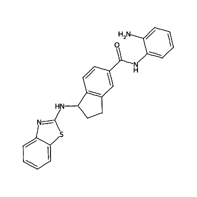 Nc1ccccc1NC(=O)c1ccc2c(c1)CCC2Nc1nc2ccccc2s1